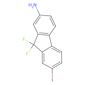 Nc1ccc2c(c1)C(F)(F)c1cc(I)ccc1-2